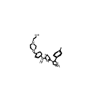 Cc1ccc(-c2n[nH]cc2-c2ccnc(Nc3ccc(CN4CCN(CCO)CC4)cc3)n2)cc1